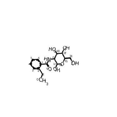 CCc1ccccc1C(=O)NC1C(O)OC(CO)C(O)C1O